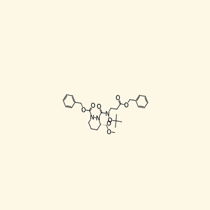 COC(=O)[C@@H]1CCCN(C(=O)OCc2ccccc2)N1C(=O)N(CCC(=O)OCc1ccccc1)OC(C)(C)C